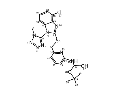 Cn1nnnc1-n1c(SCc2cccc(NC(O)OC(C)(C)C)n2)nc2c(Cl)cccc21